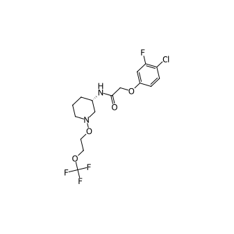 O=C(COc1ccc(Cl)c(F)c1)N[C@H]1CCCN(OCCOC(F)(F)F)C1